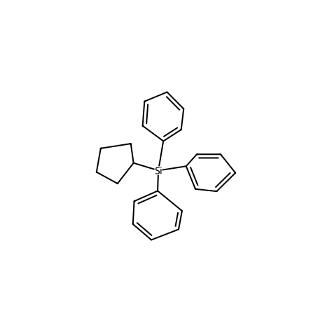 c1ccc([Si](c2ccccc2)(c2ccccc2)C2CCCC2)cc1